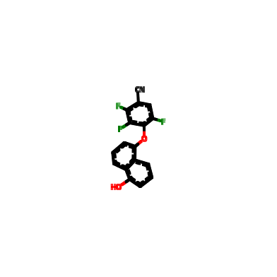 N#Cc1cc(F)c(Oc2cccc3c(O)cccc23)c(F)c1F